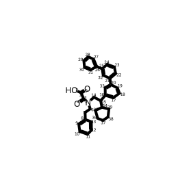 O=C(O)C(=O)N(CCc1ccccc1)CC(c1cccc(-c2cccc(-c3ccccc3)c2)c1)C1CCCCC1